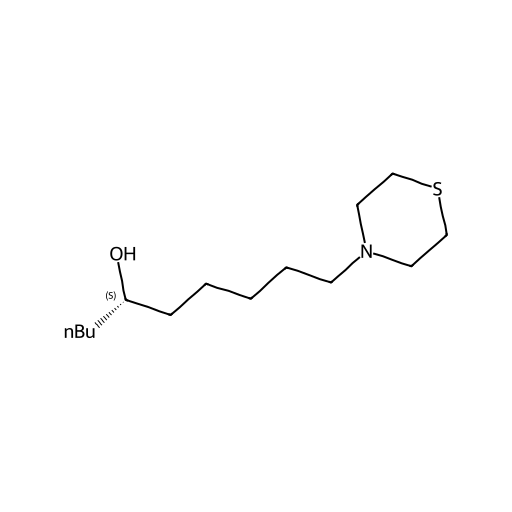 CCCC[C@H](O)CCCCCN1CCSCC1